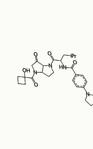 CC(C)CC(NC(=O)c1ccc(N2CCCC2)cc1)C(=O)N1CCC2C1C(=O)CN2C(=O)C1(O)CCC1